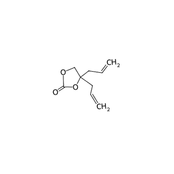 C=CCC1(CC=C)COC(=O)O1